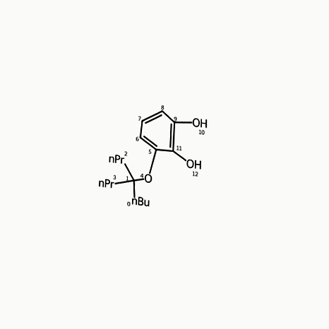 CCCCC(CCC)(CCC)Oc1cccc(O)c1O